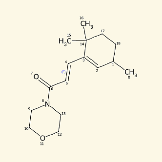 CC1C=C(/C=C/C(=O)N2CCOCC2)C(C)(C)CC1